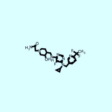 CC(F)(F)c1ccc(CN(c2ncnc(NCC3CCN(CC(N)=O)CC3O)c2F)C2CC2)cn1